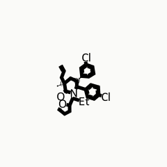 C=CC[C@@]1(C)C[C@H](c2cccc(Cl)c2)C(c2ccc(Cl)cc2)N(C(CC)C2CCCO2)C1=O